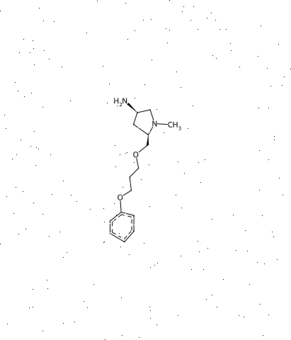 CN1C[C@H](N)C[C@@H]1COCCCOc1ccccc1